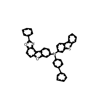 c1ccc(-c2ccc(N(c3ccc4c(c3)oc3ccc5oc(-c6ccccc6)nc5c34)c3ccc4c(c3)sc3ccccc34)cc2)cc1